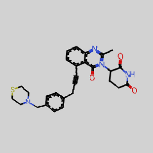 Cc1nc2cccc(C#CCc3ccc(CN4CCSCC4)cc3)c2c(=O)n1C1CCC(=O)NC1=O